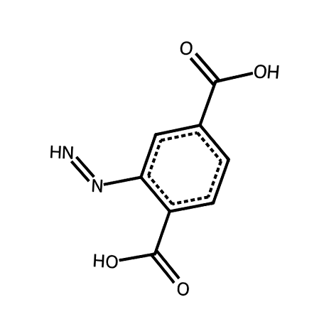 N=Nc1cc(C(=O)O)ccc1C(=O)O